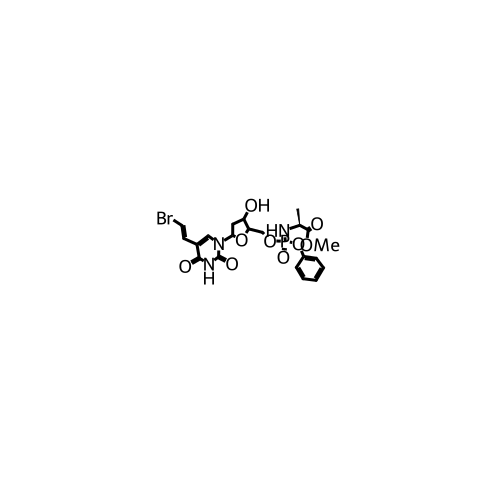 COC(=O)[C@H](C)NP(=O)(OCC1OC(n2cc(/C=C/Br)c(=O)[nH]c2=O)CC1O)Oc1ccccc1